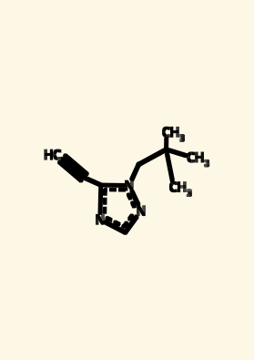 C#Cc1ncnn1CC(C)(C)C